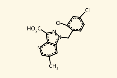 Cc1cnc2c(C(=O)O)nn(Cc3ccc(Cl)cc3Cl)c2c1